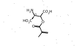 C=C(C)C(=O)OC(C(=O)O)[C@H](N)C(=O)O